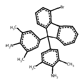 Cc1cc(C2(c3cc(C)c(N)c(C)c3)c3ccccc3-c3c(Br)cccc32)cc(C)c1N